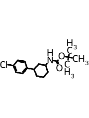 CC(C)(C)OC(=O)NC1CCCC(c2ccc(Cl)cc2)C1